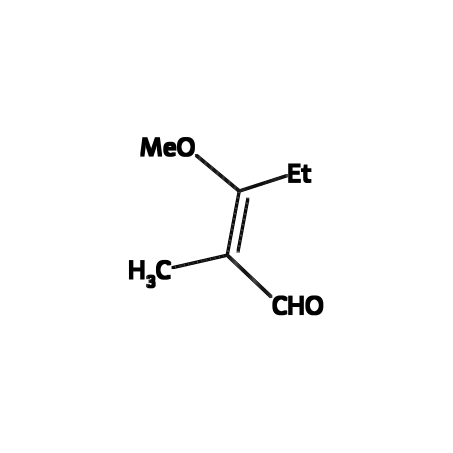 CC/C(OC)=C(/C)C=O